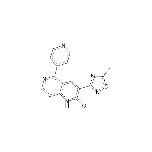 Cc1nc(-c2cc3c(-c4ccncc4)nccc3[nH]c2=O)no1